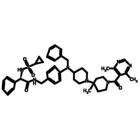 Cc1ncnc(C)c1C(=O)N1CCC(C)(N2CCC(N(Cc3ccccc3)c3ccc(CNC(=O)[C@H](NS(=O)(=O)C4CC4)c4ccccc4)cc3)CC2)CC1